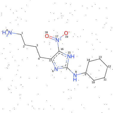 NCCCCc1nc(NC2CCCCC2)[nH]c1[N+](=O)[O-]